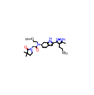 COCCN(C(=O)CN1CCC(C)(C)C1=O)C1C=Cc2cc(-c3n[nH]c(C)c3CCC(C)(C)C)[nH]c2C1